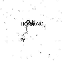 CC(=CCc1c(C)c(N=Nc2ccc([N+](=O)[O-])cc2[N+](=O)[O-])c2ccccc2c1O)CCCC(C)CCCC(C)CCCC(C)C